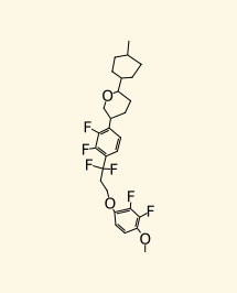 COc1ccc(OCCC(F)(F)c2ccc(C3CCC(C4CCC(C)CC4)OC3)c(F)c2F)c(F)c1F